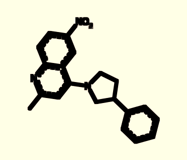 Cc1cc(N2CCC(c3ccccc3)C2)c2cc([N+](=O)[O-])ccc2n1